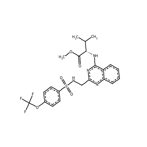 COC(=O)[C@@H](Nc1nc(CNS(=O)(=O)c2ccc(OC(F)(F)F)cc2)nc2ccccc12)C(C)C